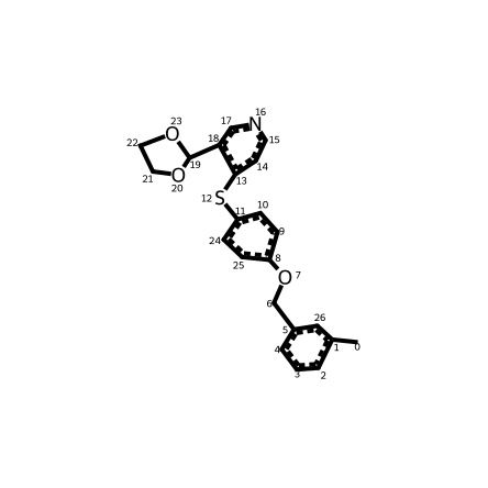 Cc1cccc(COc2ccc(Sc3ccncc3C3OCCO3)cc2)c1